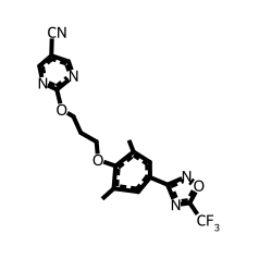 Cc1cc(-c2noc(C(F)(F)F)n2)cc(C)c1OCCCOc1ncc(C#N)cn1